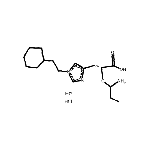 CCC(N)O[C@H](Cc1cn(CCC2CCCCC2)cn1)C(=O)O.Cl.Cl